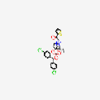 O=C(OC(c1ccc(Cl)cc1)c1ccc(Cl)cc1)O[C@H]1C[N+]2(CC(=O)c3cccs3)CCC1CC2